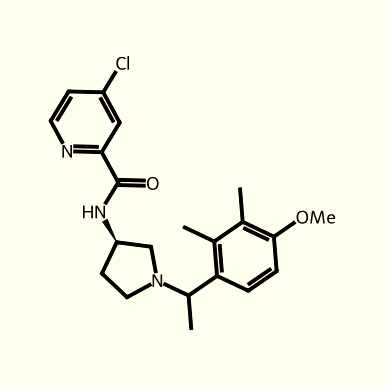 COc1ccc(C(C)N2CC[C@@H](NC(=O)c3cc(Cl)ccn3)C2)c(C)c1C